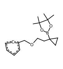 CC1(C)OB(C2(CCOCc3ccccc3)CC2)OC1(C)C